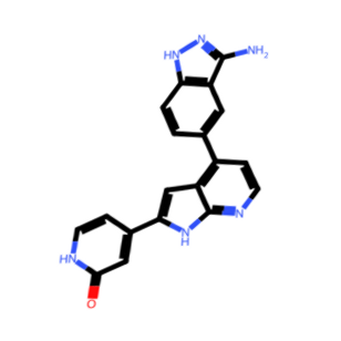 Nc1n[nH]c2ccc(-c3ccnc4[nH]c(-c5cc[nH]c(=O)c5)cc34)cc12